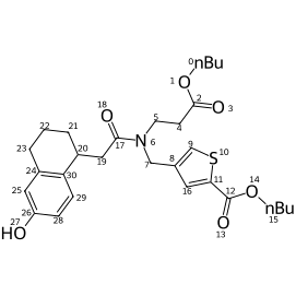 CCCCOC(=O)CCN(Cc1csc(C(=O)OCCCC)c1)C(=O)CC1CCCc2cc(O)ccc21